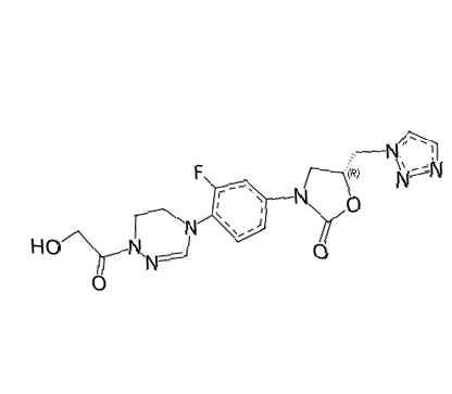 O=C(CO)N1CCN(c2ccc(N3C[C@H](Cn4ccnn4)OC3=O)cc2F)C=N1